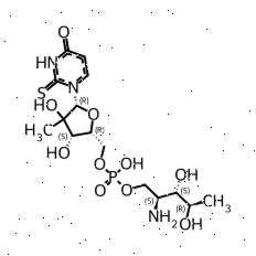 C[C@@H](O)[C@@H](O)[C@@H](N)COP(=O)(O)OC[C@H]1O[C@@H](n2ccc(=O)[nH]c2=S)C(C)(O)[C@H]1O